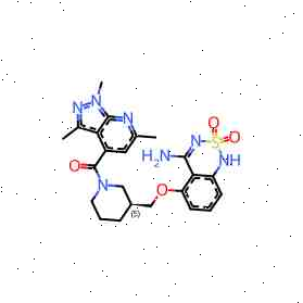 Cc1cc(C(=O)N2CCC[C@H](COc3cccc4c3C(N)=NS(=O)(=O)N4)C2)c2c(C)nn(C)c2n1